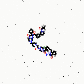 C[C@@H]1CN(CC2CCN(CC(=O)N3CCN(C(=O)c4cc(Cc5n[nH]c(=O)c6ccccc56)ccc4F)CC3)CC2)C[C@H](C)N1C(=O)[C@H](NC(=O)c1cccc([C@@H]2CCCN(C(=O)C(C)(C)C)C2)c1)C1CCCCC1